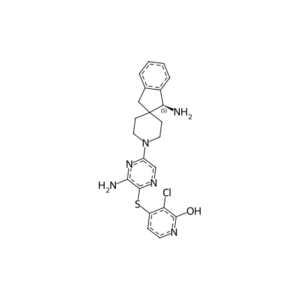 Nc1nc(N2CCC3(CC2)Cc2ccccc2[C@H]3N)cnc1Sc1ccnc(O)c1Cl